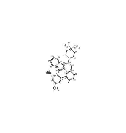 Cc1cc(C(C)(C)C)c2c(c1)c1nccc3cc(C4CCC(C)(C)CC4)c4c5ccccc5n2c4c31